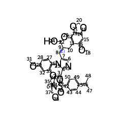 CCCCc1ncc(/C=C(\Cc2cc3c(cc2OC)OCO3)C(=O)O)n1-c1ccc(OC)cc1OCN(C=O)S(=O)(=O)c1ccc(C(C)C)cc1